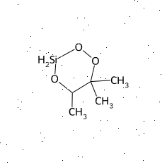 CC1O[SiH2]OOC1(C)C